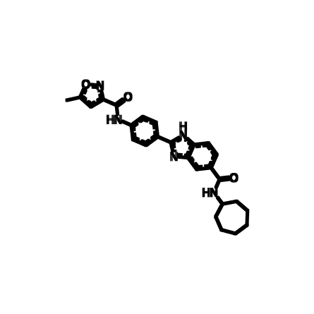 Cc1cc(C(=O)Nc2ccc(-c3nc4cc(C(=O)NC5CCCCCC5)ccc4[nH]3)cc2)no1